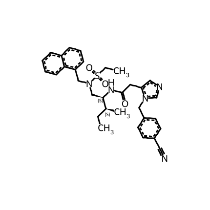 CC[C@H](C)[C@@H](CN(Cc1cccc2ccccc12)S(=O)(=O)CC)NC(=O)Cc1cncn1Cc1ccc(C#N)cc1